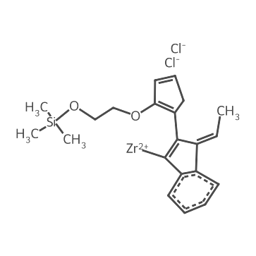 CC=C1C(C2=C(OCCO[Si](C)(C)C)C=CC2)=[C]([Zr+2])c2ccccc21.[Cl-].[Cl-]